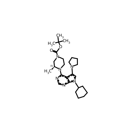 C[C@H]1CN(C(=O)OC(C)(C)C)CCN1c1ncnc2c1c(N1CCCC1)cn2C1CCCCC1